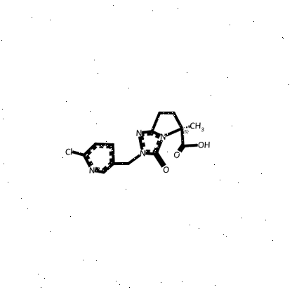 C[C@@]1(C(=O)O)CCc2nn(Cc3ccc(Cl)nc3)c(=O)n21